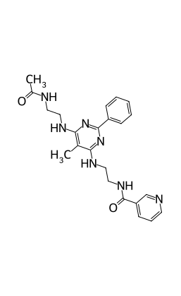 CC(=O)NCCNc1nc(-c2ccccc2)nc(NCCNC(=O)c2cccnc2)c1C